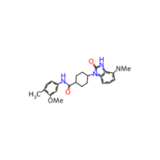 CNc1cccc2c1[nH]c(=O)n2C1CCC(C(=O)Nc2ccc(C)c(OC)c2)CC1